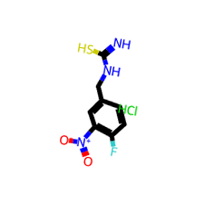 Cl.N=C(S)NCc1ccc(F)c([N+](=O)[O-])c1